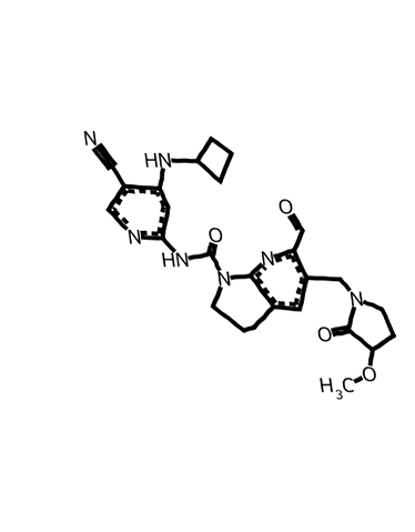 COC1CCN(Cc2cc3c(nc2C=O)N(C(=O)Nc2cc(NC4CCC4)c(C#N)cn2)CCC3)C1=O